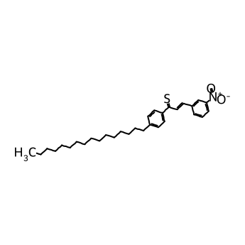 CCCCCCCCCCCCCCCCc1ccc(C(=S)C=Cc2cccc([N+](=O)[O-])c2)cc1